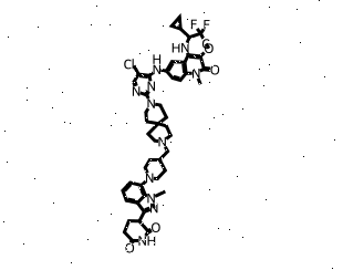 Cn1nc(C2CCC(=O)NC2=O)c2cccc(N3CCC(CN4CCC5(CC4)CCN(c4ncc(Cl)c(Nc6ccc7c(c6)c6c(c(=O)n7C)OCC(F)(F)C(C7CC7)N6)n4)CC5)CC3)c21